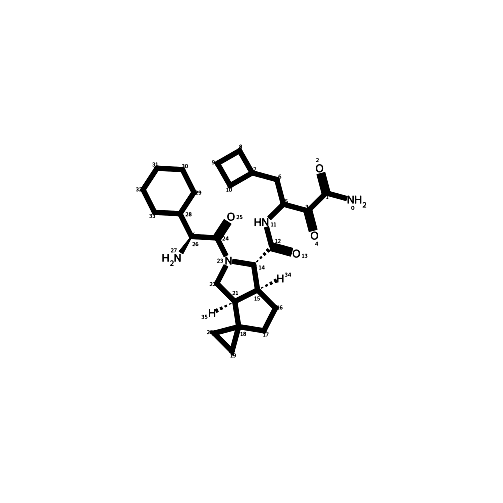 NC(=O)C(=O)C(CC1CCC1)NC(=O)[C@@H]1[C@H]2CCC3(CC3)[C@H]2CN1C(=O)[C@@H](N)C1CCCCC1